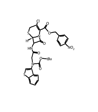 CC(C)(C)OC(=O)N(CC(=O)NC1C(=O)N2C(C(=O)OCc3ccc([N+](=O)[O-])cc3)=C(Cl)CS[C@@H]12)c1csc2ccccc12